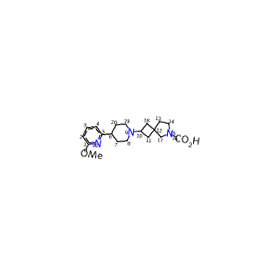 COc1cccc(C2CCN(C3CC4(CCN(C(=O)O)C4)C3)CC2)n1